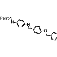 CCCCCN=Nc1ccc(N=Nc2ccc(OCc3ccccc3)cc2)cc1